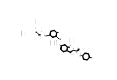 CC(C)C(=O)NCc1ccc(Cl)c(C(=O)Nc2ccc3cc(C(=O)Nc4ccc(F)cc4)[nH]c3c2)c1